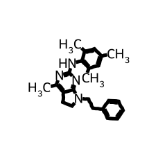 Cc1cc(C)c(Nc2nc(C)c3c(n2)N(CCc2ccccc2)CC3)c(C)c1